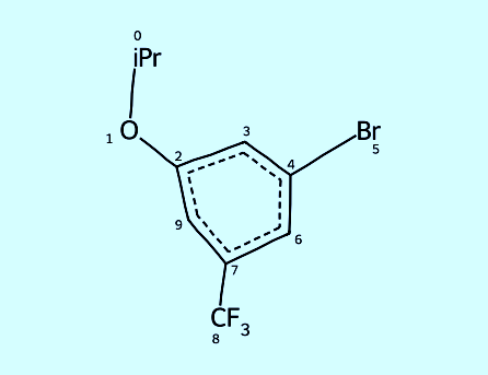 CC(C)Oc1cc(Br)cc(C(F)(F)F)c1